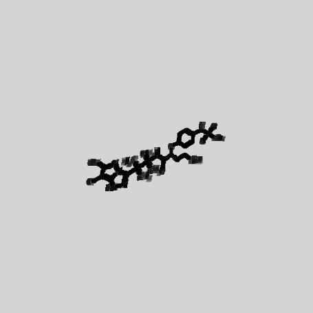 CCCCCCCCCCCCC(Oc1ccc(NS(=O)(=O)CCCC)cc1)C(=O)NC(C)(C)C(C)(C)c1n[nH]c2c(Cl)c(C(C)(C)C)nn12